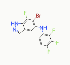 Fc1ccc(Nc2cc3cn[nH]c3c(F)c2Br)c(F)c1F